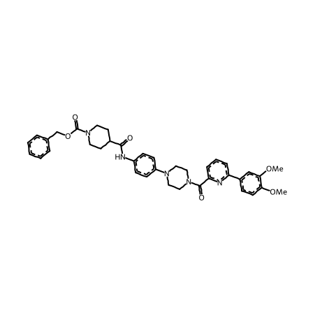 COc1ccc(-c2cccc(C(=O)N3CCN(c4ccc(NC(=O)C5CCN(C(=O)OCc6ccccc6)CC5)cc4)CC3)n2)cc1OC